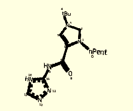 CCCCCN1CN(C(C)(C)C)C=C1C(=O)Nc1nnc[nH]1